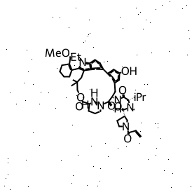 C=CC(=O)N1CC[C@H](C(=O)N(C)[C@H](C(=O)N[C@H]2Cc3cc(O)cc(c3)-c3ccc4c(c3)c(c(C3=C(COC)CCCC3)n4CC)CC(C)(C)COC(=O)[C@@H]3CCCN(N3)C2=O)C(C)C)C1